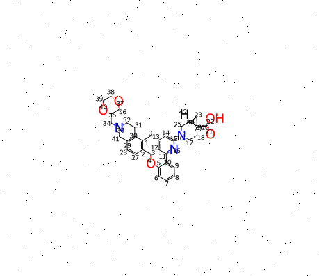 Cc1c(COc2ccccc2-c2cccc(N3CC[C@@]4(C(=O)O)C[C@H]4C3)n2)ccc2c1CCN(CC1COCCO1)C2